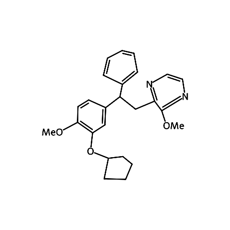 COc1ccc(C(Cc2nccnc2OC)c2ccccc2)cc1OC1CCCC1